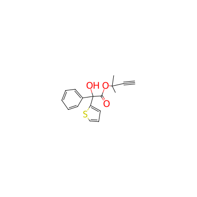 C#CC(C)(C)OC(=O)C(O)(c1ccccc1)c1cccs1